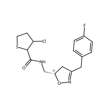 O=C(NC[C@@H]1CC(Cc2ccc(F)cc2)=NO1)C1SCCC1Cl